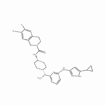 CN(c1nccc(Nc2cc(C3CC3)[nH]n2)n1)[C@H]1CC[C@H](NC(=O)N2CCc3cc(F)c(F)cc3C2)CC1